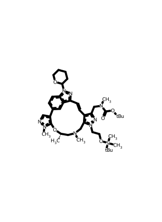 C[C@H]1CN(C)Cc2c(c(CN(C)C(=O)OC(C)(C)C)nn2CCO[Si](C)(C)C(C)(C)C)/C=C/c2nn(C3CCCCO3)c3ccc(cc23)-c2cnn(C)c2O1